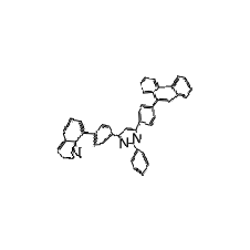 c1ccc(-c2nc(-c3ccc(-c4cc5ccccc5c5ccccc45)cc3)cc(-c3ccc(-c4cccc5cccnc45)cc3)n2)cc1